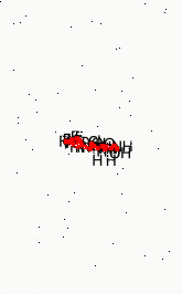 Cn1c(-c2cn(C3CC3(F)F)nc2C(F)(F)F)cnc1C(=O)Nc1ccc(C(=O)N[C@H]2[C@@H]3CN(C(=O)N[C@H]4CNC[C@@H]4O)C[C@@H]32)c(Cl)c1